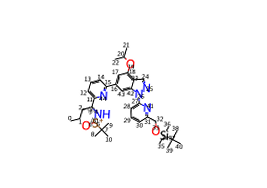 CCC[C@H](N[S@+]([O-])C(C)(C)C)c1cccc(-c2cc(OC(C)C)c3cnn(-c4cccc(CO[Si](C)(C)C(C)(C)C)n4)c3c2)n1